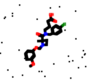 COc1cccc(OCN2CCC2(C)C(=O)N(CCCC(=O)O)Cc2ccc(Cl)cc2)c1